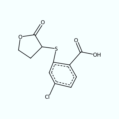 O=C(O)c1ccc(Cl)cc1SC1CCOC1=O